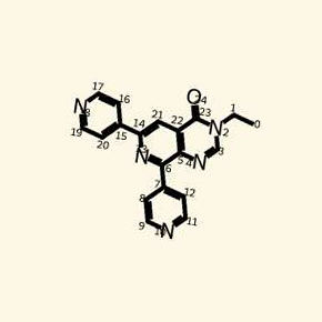 CCn1cnc2c(-c3ccncc3)nc(-c3ccncc3)cc2c1=O